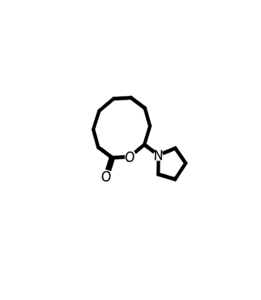 O=C1CCCCCCCC(N2CCCC2)O1